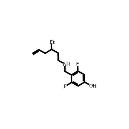 C=CCC(CC)CCNCc1c(F)cc(O)cc1F